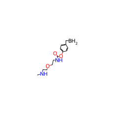 BCc1ccc(OC(=O)NCCOCCNC)cc1